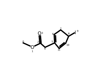 COC(=O)CC1=CCC(I)C=C1